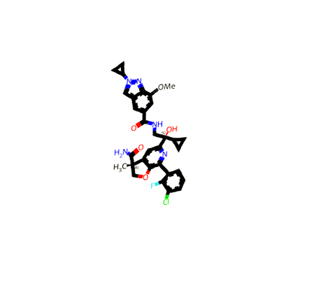 COc1cc(C(=O)NC[C@](O)(c2cc3c(c(-c4cccc(Cl)c4F)n2)OC[C@]3(C)C(N)=O)C2CC2)cc2cn(C3CC3)nc12